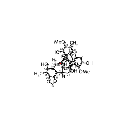 COc1cc2c(cc1O)CCN[C@]21CS[C@@H]2c3c(O)c(C)c4c(c3[C@H](COC1=O)N1[C@@H]2C2NC(Cc3cc(C)c(OC)c(O)c32)[C@@H]1O)OCO4